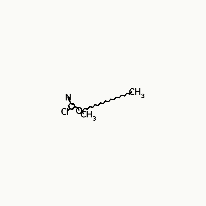 CCCCCCCCCCCCCCCCCCCC(C)OCc1cc(Cl)cc(C#N)c1